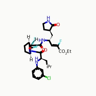 CCOC(=O)/C(F)=C/[C@@H](C[C@H]1CCNC1=O)NC(=O)[C@@H]1[C@@H]2CC[C@@H](CC2(F)F)N1C(=O)[C@@H](CC(C)C)Nc1cccc(Cl)c1